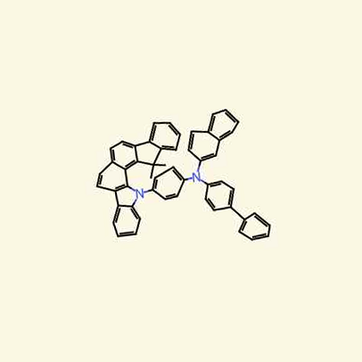 CC1(C)c2ccccc2-c2ccc3ccc4c5ccccc5n(-c5ccc(N(c6ccc(-c7ccccc7)cc6)c6ccc7ccccc7c6)cc5)c4c3c21